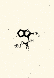 CC(C)(C)OC(=O)Nc1c(C(F)(F)F)sc2c1CCC2